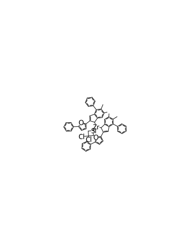 Cc1cc2c(c(-c3ccccc3)c1C)C=C(c1ccc(-c3ccccc3)o1)[CH]2[Zr]([CH]1C(c2ccc(-c3ccccc3)o2)=Cc2c1cc(C)c(C)c2-c1ccccc1)=[Si]1CC(Cl)(Cl)C1